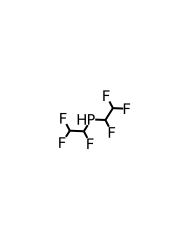 FC(F)C(F)PC(F)C(F)F